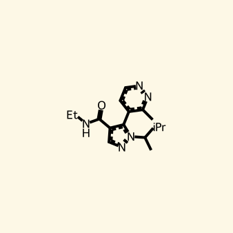 CCNC(=O)c1cnn(C(C)C(C)C)c1-c1ccnnc1C